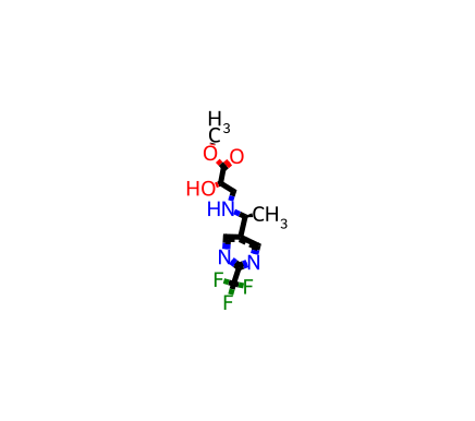 COC(=O)C(O)CN[C@@H](C)c1cnc(C(F)(F)F)nc1